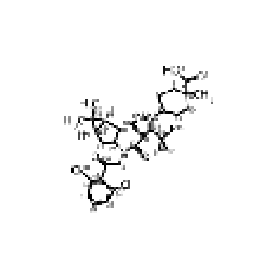 CC1(C(=O)O)CCC(n2ncc(C(=O)N(CC(=O)c3c(Cl)cccc3Cl)C3C[C@@H]4[C@H](C3)C4(C)C)c2C2(F)CC2)CC1